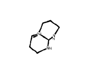 C1=[N+]2CCCNC2NCC1